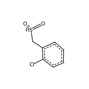 O=[SH](=O)Cc1cc[c]cc1Cl